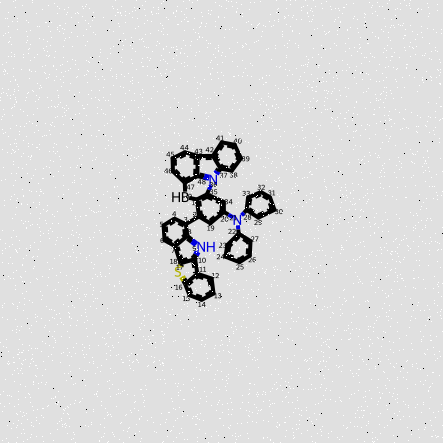 B1c2c(-c3cccc4c3[nH]c3c5ccccc5sc43)cc(N(c3ccccc3)c3ccccc3)cc2-n2c3ccccc3c3cccc1c32